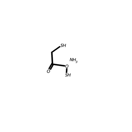 N.O=C(CS)OS